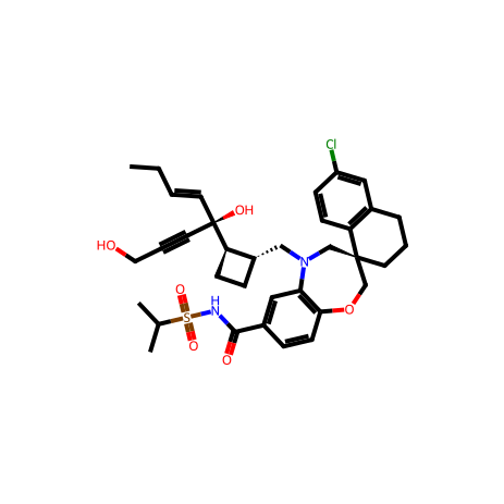 CC/C=C/[C@@](O)(C#CCO)[C@@H]1CC[C@H]1CN1C[C@@]2(CCCc3cc(Cl)ccc32)COc2ccc(C(=O)NS(=O)(=O)C(C)C)cc21